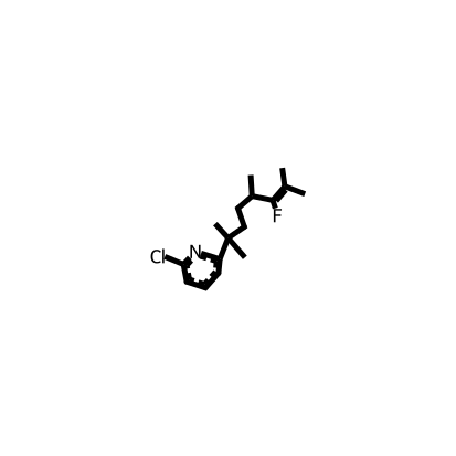 CC(C)=C(F)C(C)CCC(C)(C)c1cccc(Cl)n1